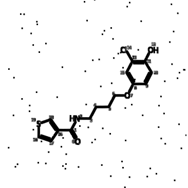 O=C(NCCCCOc1ccc(O)c(Cl)c1)c1ccsc1